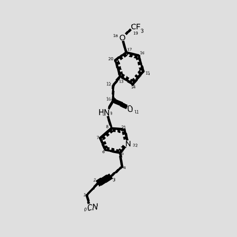 N#CCC#CCc1ccc(NC(=O)Cc2cccc(OC(F)(F)F)c2)cn1